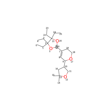 CCC1(CC)OB(C2=CC(C3COC(C)(C)C3)OCC2)OC1(CC)CC